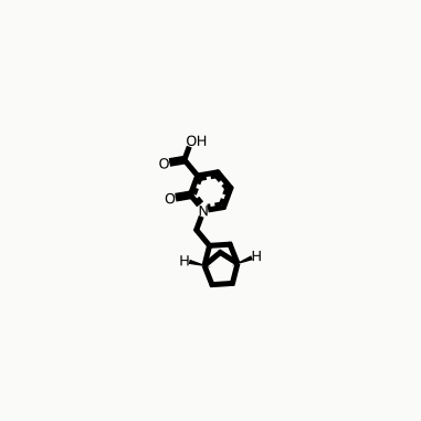 O=C(O)c1cccn(CC2C[C@@H]3CC[C@H]2C3)c1=O